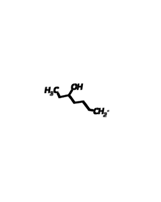 [CH2]CCCC(O)CC